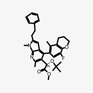 COC(=O)[C@@H](OC(C)(C)C)c1c(C)nc2c(cc(CCc3ccccc3)n2C)c1-c1cc(F)c2c(c1C)CCCO2